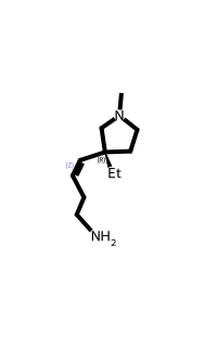 CC[C@]1(/C=C\CCN)CCN(C)C1